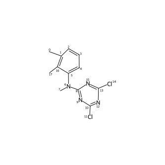 Cc1cccc(N(C)c2nc(Cl)nc(Cl)n2)c1C